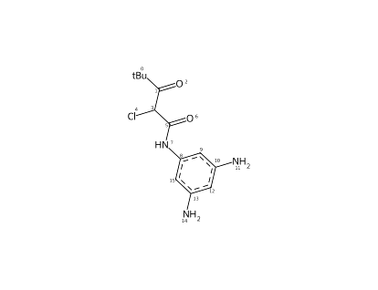 CC(C)(C)C(=O)C(Cl)C(=O)Nc1cc(N)cc(N)c1